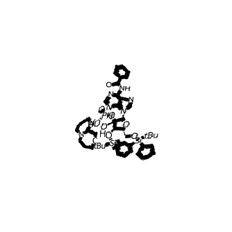 C1CCC2=NCCCN2CC1.CC(C)(C)[Si](C)(C)O[C@@H]1[C@@H](CO[Si](c2ccccc2)(c2ccccc2)C(C)(C)C)O[C@@H](n2cnc3c(NC(=O)c4ccccc4)ncnc32)[C@@]1(O)O[PH](=O)O